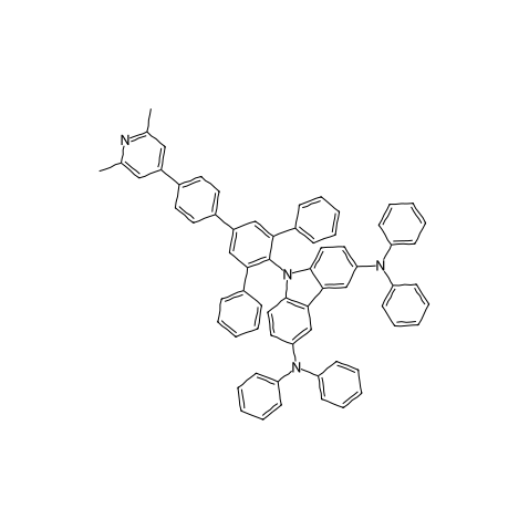 Cc1cc(-c2ccc(-c3cc(-c4ccccc4)c(-n4c5ccc(N(c6ccccc6)c6ccccc6)cc5c5cc(N(c6ccccc6)c6ccccc6)ccc54)c(-c4ccccc4)c3)cc2)cc(C)n1